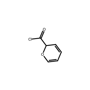 O=C(Cl)C1C=CC=CO1